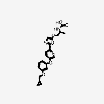 CC(COc1cnc(-c2ccc(Oc3cccc(OCC4CC4)c3)cn2)o1)NC(=O)O